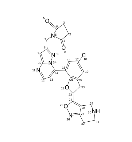 O=C1CCC(=O)N1Cc1cc2nccc(-c3cc(Cl)cc4c3OC(c3onc5c3CNCC5)C4)n2n1